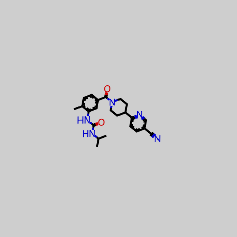 Cc1ccc(C(=O)N2CCC(c3ccc(C#N)cn3)CC2)cc1NC(=O)NC(C)C